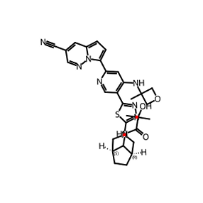 CC1(Nc2cc(-c3ccc4cc(C#N)cnn34)ncc2-c2nnc(N3C[C@H]4CC[C@@H](C3)C4NC(=O)C(C)(C)O)s2)COC1